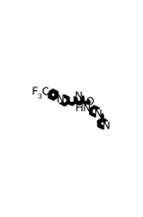 O=C(NC1CCN(Cc2cccnc2)CC1)c1cncc(CC2CCN(c3ccc(C(F)(F)F)cc3)CC2)c1